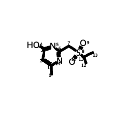 Cc1cc(O)nc(CS(=O)(=O)C(C)C)n1